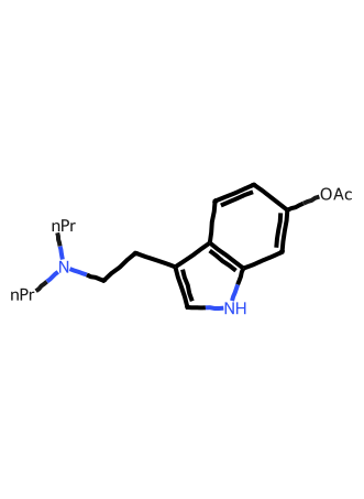 CCCN(CCC)CCc1c[nH]c2cc(OC(C)=O)ccc12